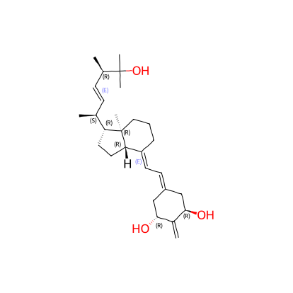 C=C1[C@H](O)CC(=C/C=C2\CCC[C@]3(C)[C@@H]([C@@H](C)/C=C/[C@@H](C)C(C)(C)O)CC[C@@H]23)C[C@H]1O